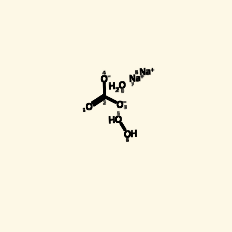 O.O=C([O-])[O-].OO.[Na+].[Na+]